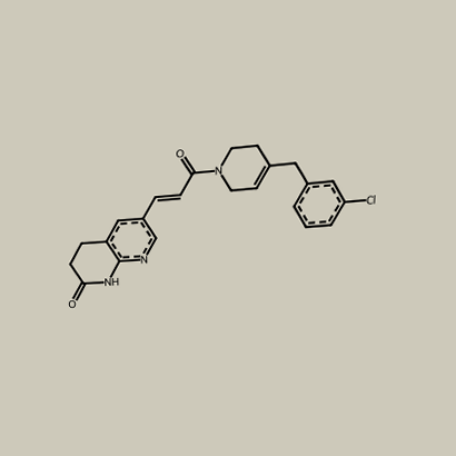 O=C1CCc2cc(C=CC(=O)N3CC=C(Cc4cccc(Cl)c4)CC3)cnc2N1